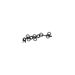 C=CC(=O)OCCCCOc1ccc(C(=O)Oc2ccc(OC(=O)c3cccnc3)cc2)cc1